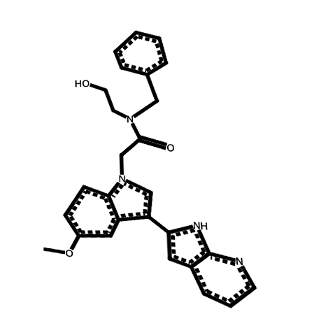 COc1ccc2c(c1)c(-c1cc3cccnc3[nH]1)cn2CC(=O)N(CCO)Cc1ccccc1